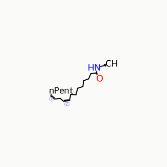 C#CNC(=O)CCCCCCC/C=C\C/C=C\CCCCC